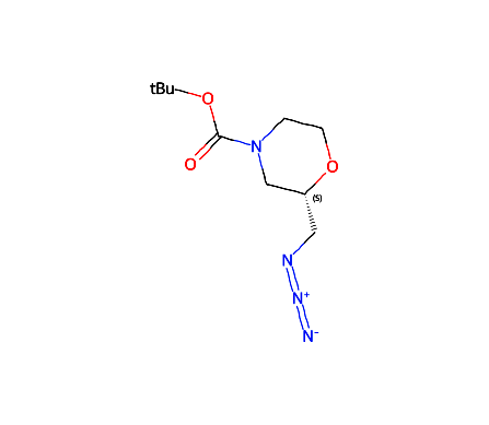 CC(C)(C)OC(=O)N1CCO[C@H](CN=[N+]=[N-])C1